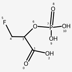 O=C(O)C(CF)OP(=O)(O)O